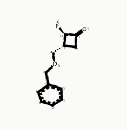 O=C1C[C@H](COCc2ccccc2)[C@H]1F